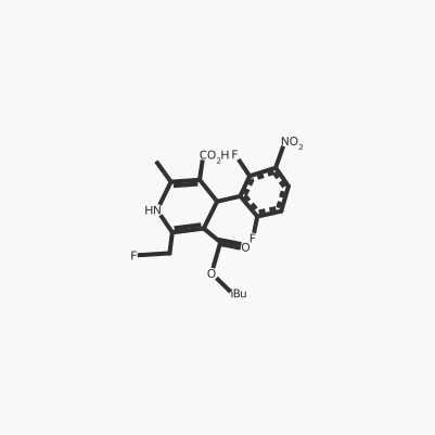 CCC(C)OC(=O)C1=C(CF)NC(C)=C(C(=O)O)C1c1c(F)ccc([N+](=O)[O-])c1F